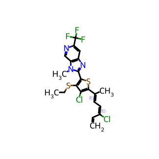 C=C/C(Cl)=C\C=C(/C)c1sc(-c2nc3cc(C(F)(F)F)ncc3n2C)c(SCC)c1Cl